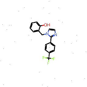 Oc1ccccc1Cn1ccnc1-c1ccc(C(F)(F)F)cc1